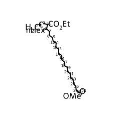 C=C=CC(C(=O)OCC)C(CCCCCC)CCCCCCCCCCCCCCCCCCCCC(=O)OC